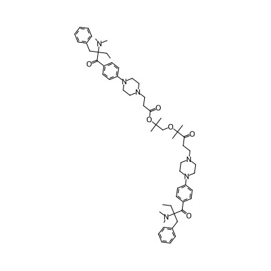 CCC(Cc1ccccc1)(C(=O)c1ccc(N2CCN(CCC(=O)OC(C)(C)COC(C)(C)C(=O)CCN3CCN(c4ccc(C(=O)C(CC)(Cc5ccccc5)N(C)C)cc4)CC3)CC2)cc1)N(C)C